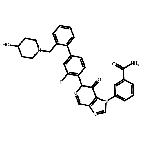 NC(=O)c1cccc(-n2cnc3c2C(=O)C(c2ccc(-c4ccccc4CN4CCC(O)CC4)cc2F)N=C3)c1